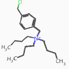 CCCC[N+](CCCC)(CCCC)Cc1ccc(CCl)cc1